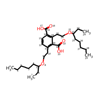 CCCCCC(CC)OCCc1ccc(C(=O)O)c(CCOC(CC)CCCCC)c1C(=O)O